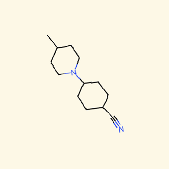 CC1CCN(C2CCC(C#N)CC2)CC1